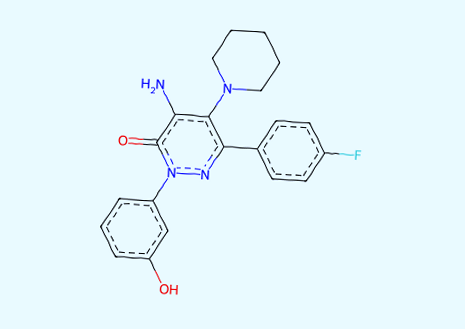 Nc1c(N2CCCCC2)c(-c2ccc(F)cc2)nn(-c2cccc(O)c2)c1=O